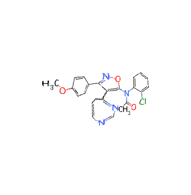 COc1ccc(-c2noc(N(C(C)=O)c3ccccc3Cl)c2-c2ccncn2)cc1